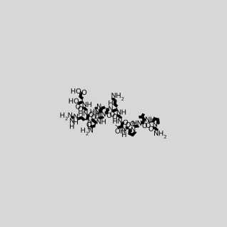 CC(C)[C@H](NC(=O)[C@@H]1CCCN1C(=O)CN)C(=O)NCC(=O)N1CCC[C@H]1C(=O)N[C@H](C(=O)NCC(=O)N[C@@H](CCCCN)C(=O)N[C@@H](Cc1c[nH]cn1)C(=O)NCC(=O)N[C@@H](CC(N)=O)C(=O)N[C@@H](CCCNC(=N)N)C(=O)NCC(=O)N[C@@H](CCC(=O)O)C(=O)O)[C@@H](C)O